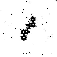 CC1=Cc2c(cccc2-c2ccccc2)[C]1CC[C]1C(C)=Cc2c1cccc2-c1ccccc1